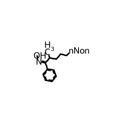 CCCCCCCCCCCCC(C)C(=NO)c1ccccc1